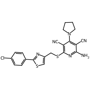 N#Cc1c(N)nc(SCc2csc(-c3ccc(Cl)cc3)n2)c(C#N)c1N1CCCC1